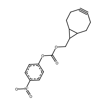 O=C(OCC1C2CCC#CCCC21)Oc1ccc([N+](=O)[O-])cc1